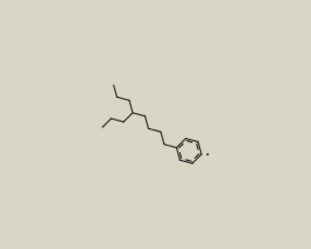 CCCC(CCC)CCCCc1cc[c]cc1